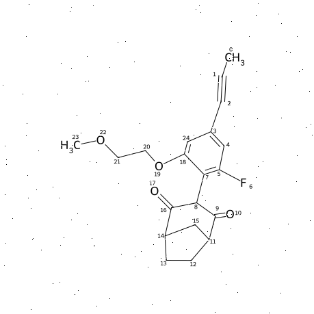 CC#Cc1cc(F)c(C2C(=O)C3CCC(C3)C2=O)c(OCCOC)c1